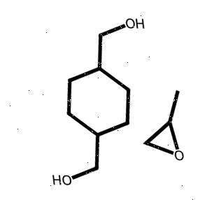 CC1CO1.OCC1CCC(CO)CC1